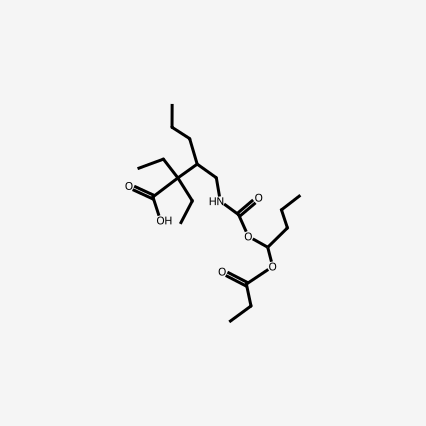 CCCC(OC(=O)CC)OC(=O)NCC(CCC)C(CC)(CC)C(=O)O